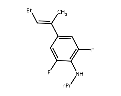 CCC=C(C)c1cc(F)c(NCCC)c(F)c1